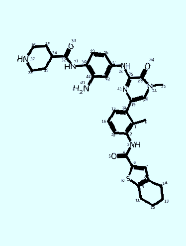 Cc1c(NC(=O)c2cc3c(s2)CCCC3)cccc1-c1cn(C)c(=O)c(Nc2ccc(NC(=O)C3CCNCC3)c(N)c2)n1